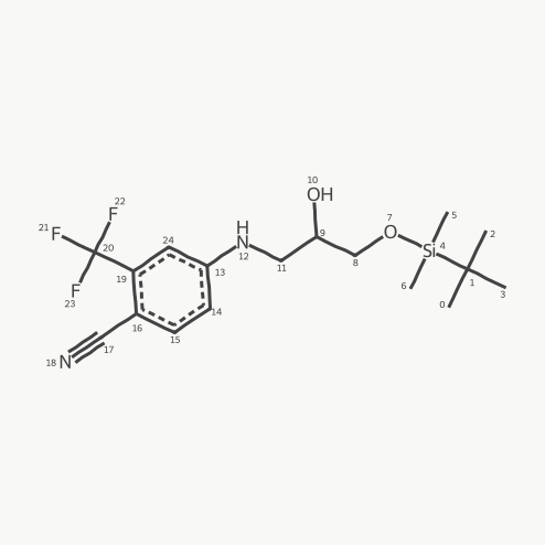 CC(C)(C)[Si](C)(C)OCC(O)CNc1ccc(C#N)c(C(F)(F)F)c1